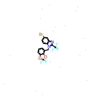 FC1(F)Oc2cccc(Cn3c(C(F)(F)F)nc4cc(Br)ccc43)c2O1